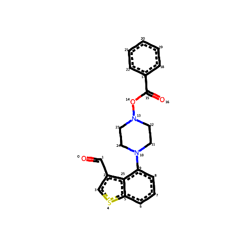 O=Cc1csc2cccc(N3CCN(OC(=O)c4ccccc4)CC3)c12